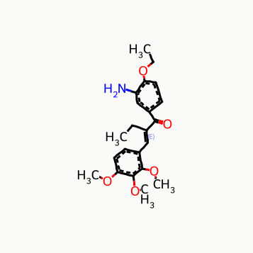 CCOc1ccc(C(=O)/C(=C/c2ccc(OC)c(OC)c2OC)CC)cc1N